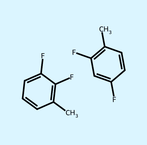 Cc1ccc(F)cc1F.Cc1cccc(F)c1F